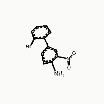 Nc1ccc(-c2ccccc2Br)cc1[N+](=O)[O-]